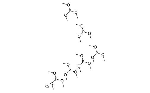 COP(OC)OC.COP(OC)OC.COP(OC)OC.COP(OC)OC.COP(OC)OC.COP(OC)OC.[Cr]